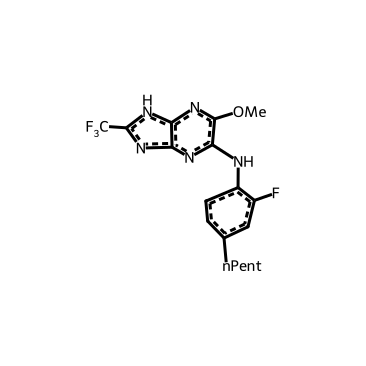 CCCCCc1ccc(Nc2nc3nc(C(F)(F)F)[nH]c3nc2OC)c(F)c1